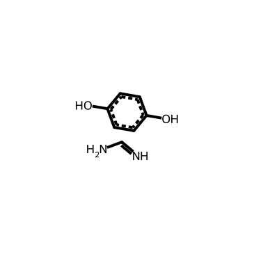 N=CN.Oc1ccc(O)cc1